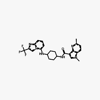 Cc1ccc2c(n1)c(C(=O)NC1CCC(Nc3cccc4nc(C(F)(F)F)cn34)CC1)cn2C